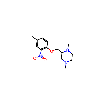 Cc1ccc(OCC2CN(C)CCN2C)c([N+](=O)[O-])c1